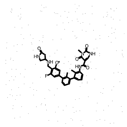 COc1cc(-c2cccc(-c3cccc(NC(=O)c4c[nH]c(=O)n(C)c4=O)c3C)c2C)cc(F)c1CNC1CNC(=O)C1